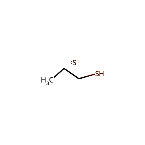 CCCS.[S]